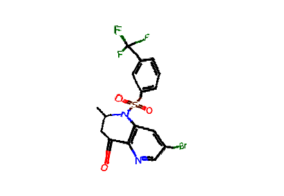 CC1CC(=O)c2ncc(Br)cc2N1S(=O)(=O)c1cccc(C(F)(F)F)c1